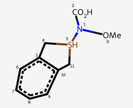 CON(C(=O)O)[SH]1Cc2ccccc2C1